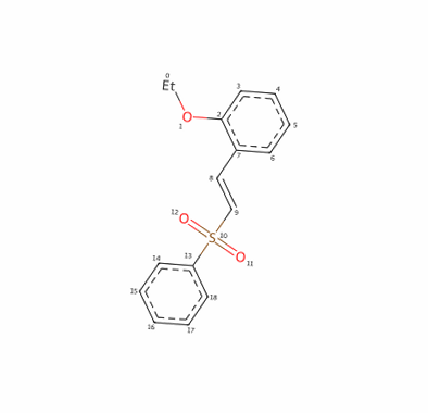 CCOc1ccccc1C=CS(=O)(=O)c1ccccc1